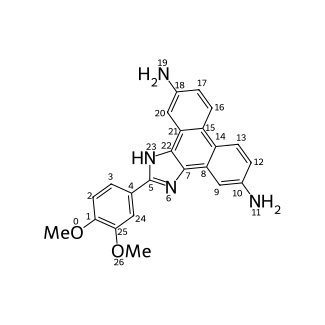 COc1ccc(-c2nc3c4cc(N)ccc4c4ccc(N)cc4c3[nH]2)cc1OC